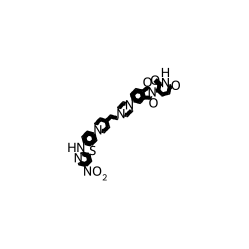 O=C1CCC(N2C(=O)c3ccc(N4CCN(CCC5CCN(c6ccc7c(c6)Sc6cc([N+](=O)[O-])cnc6N7)CC5)CC4)cc3C2=O)C(=O)N1